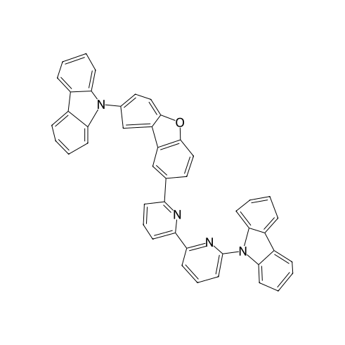 c1cc(-c2ccc3oc4ccc(-n5c6ccccc6c6ccccc65)cc4c3c2)nc(-c2cccc(-n3c4ccccc4c4ccccc43)n2)c1